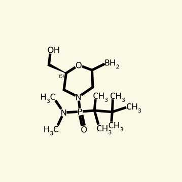 BC1CN(P(=O)(N(C)C)C(C)(C)C(C)(C)C)C[C@@H](CO)O1